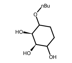 CCCCOC1CCC(O)[C@@H](O)[C@H]1O